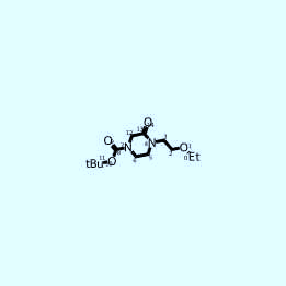 CCOCCN1CCN(C(=O)OC(C)(C)C)CC1=O